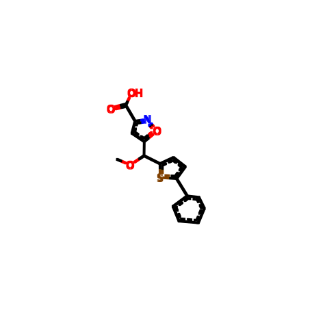 COC(c1cc(C(=O)O)no1)c1ccc(-c2ccccc2)s1